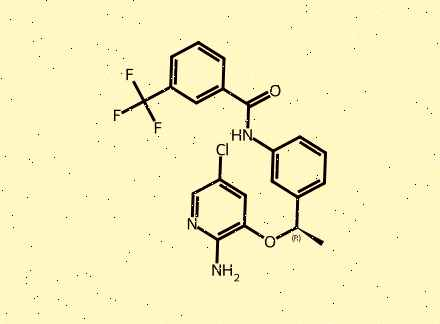 C[C@@H](Oc1cc(Cl)cnc1N)c1cccc(NC(=O)c2cccc(C(F)(F)F)c2)c1